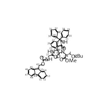 COC(=O)[C@H](COC(C)(C)C)NC(=O)[C@H](CC(=O)NC(c1ccccc1)(c1ccccc1)c1ccccc1)NC(=O)CNC(=O)OCC1c2ccccc2-c2ccccc21